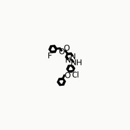 O=C(OCc1cccc(F)c1)c1cnc(Nc2ccc(OCc3ccccc3)c(Cl)c2)nc1